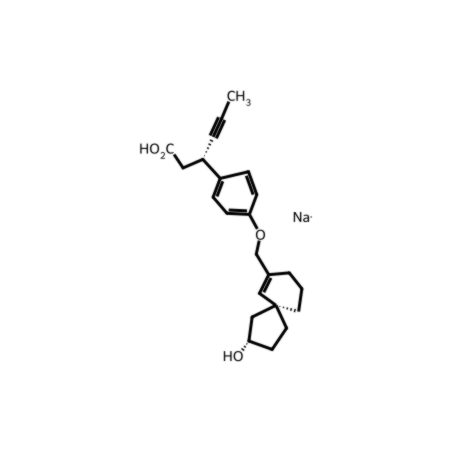 CC#C[C@@H](CC(=O)O)c1ccc(OCC2=C[C@@]3(CCC2)CC[C@H](O)C3)cc1.[Na]